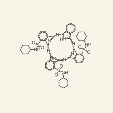 O=S(=O)(NC1CCCCC1)c1cccc2c1-c1nc-2nc2[nH]c(nc3nc(nc4[nH]c(n1)c1ccccc41)-c1cccc(S(=O)(=O)NC4CCCCC4)c1-3)c1cccc(S(=O)(=O)NC3CCCCC3)c21